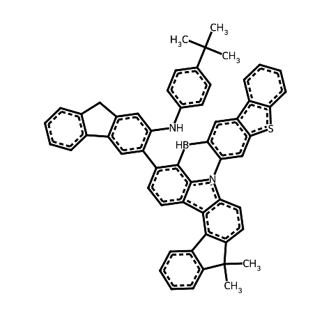 CC(C)(C)c1ccc(Nc2cc3c(cc2-c2ccc4c5c6c(ccc5n5c4c2Bc2cc4c(cc2-5)sc2ccccc24)C(C)(C)c2ccccc2-6)-c2ccccc2C3)cc1